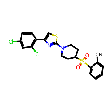 N#Cc1ccccc1S(=O)(=O)C1CCN(c2nc(-c3ccc(Cl)cc3Cl)cs2)CC1